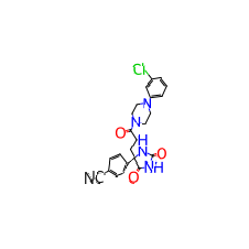 N#Cc1ccc(C2(CCC(=O)N3CCN(c4cccc(Cl)c4)CC3)NC(=O)NC2=O)cc1